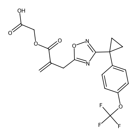 C=C(Cc1nc(C2(c3ccc(OC(F)(F)F)cc3)CC2)no1)C(=O)OCC(=O)O